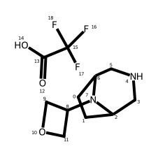 C1CC2CNCC1N2C1COC1.O=C(O)C(F)(F)F